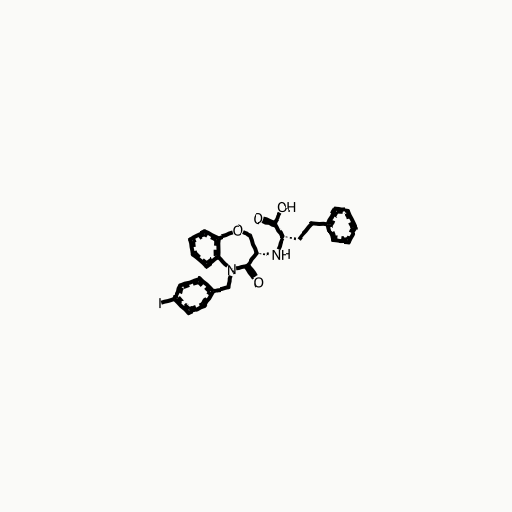 O=C(O)[C@H](CCc1ccccc1)N[C@H]1COc2ccccc2N(Cc2ccc(I)cc2)C1=O